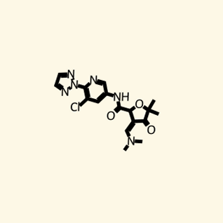 CN(C)C=C1C(=O)C(C)(C)OC1C(=O)Nc1cnc(-n2nccn2)c(Cl)c1